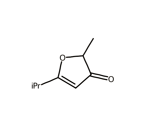 CC(C)C1=CC(=O)C(C)O1